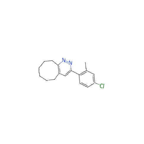 Cc1cc(Cl)ccc1-c1cc2c(nn1)CCCCCC2